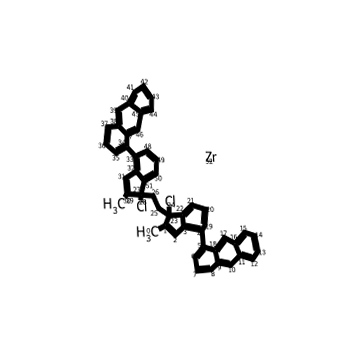 CC1=Cc2c(-c3cccc4cc5ccccc5cc34)cccc2C1(Cl)CCC1(Cl)C(C)=Cc2c(-c3cccc4cc5ccccc5cc34)cccc21.[Zr]